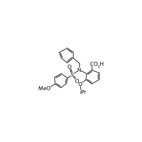 COc1ccc(S(=O)(=O)N(Cc2ccccc2)c2c(OC(C)C)cccc2C(=O)O)cc1